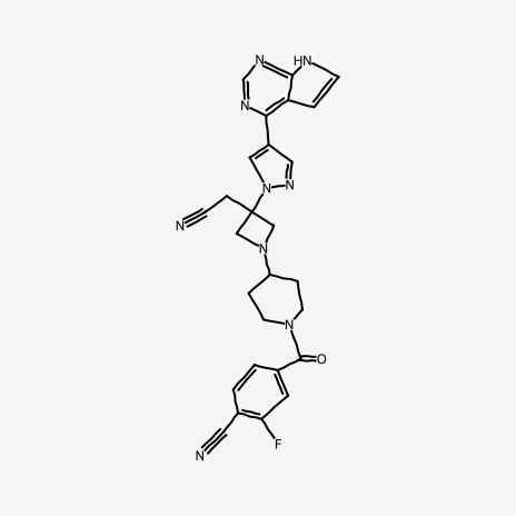 N#CCC1(n2cc(-c3ncnc4[nH]ccc34)cn2)CN(C2CCN(C(=O)c3ccc(C#N)c(F)c3)CC2)C1